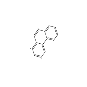 [c]1c[c]c2c[c]c3ccccc3c2c1